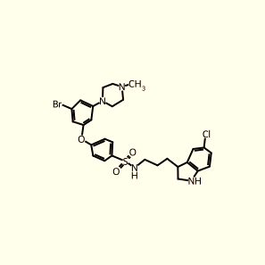 CN1CCN(c2cc(Br)cc(Oc3ccc(S(=O)(=O)NCCCC4CNc5ccc(Cl)cc54)cc3)c2)CC1